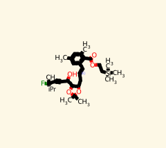 Cc1cc(C)c(C(=O)OCC[Si](C)(C)C)c(/C=C/CC2OC(C)(C)OC2C(O)C#CC(C)(F)C(C)C)c1